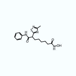 Cc1nsc(C(CCCCCC(=O)NO)C(=O)Nc2ccccc2)n1